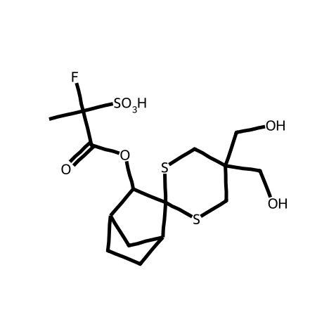 CC(F)(C(=O)OC1C2CCC(C2)C12SCC(CO)(CO)CS2)S(=O)(=O)O